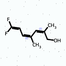 CC(=C/C=C(F)F)/C=C(/C)CO